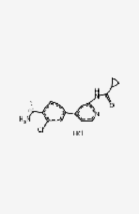 C[C@@H](N)c1ccc(-c2ccnc(NC(=O)C3CC3)c2)cc1Cl.Cl